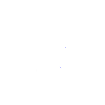 CCCC(C#N)CCC1=CC=C(C)CN1